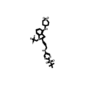 CC(C)(C)S(=O)(=O)c1ncc(NCC#Cc2cc3c(NC4CCS(=O)(=O)CC4)cccc3n2CC(F)(F)F)cn1